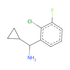 NC(c1cccc(F)c1Cl)C1CC1